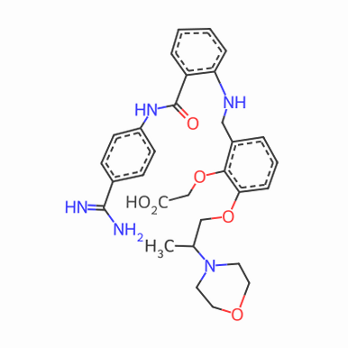 CC(COc1cccc(CNc2ccccc2C(=O)Nc2ccc(C(=N)N)cc2)c1OCC(=O)O)N1CCOCC1